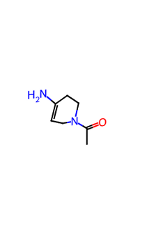 CC(=O)N1CC=C(N)CC1